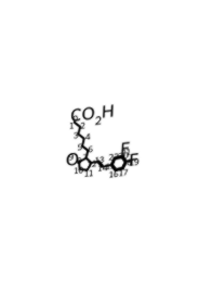 O=C(O)CCCCCCC1C(=O)CCC1/C=C/c1ccc(F)c(F)c1